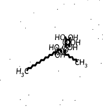 CCCCCCCCCCCCCC[C@@H](O)[C@@H](O)[C@H](COC1OC(CO)C(O)C(O)C1O)NC(=O)CCCCCCC